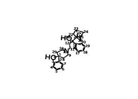 OC1(c2ccccc2)CCN(CCC(O)(c2ccccc2)C23CC4CC2C3C4)CC1